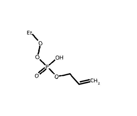 C=CCOP(=O)(O)OOCC